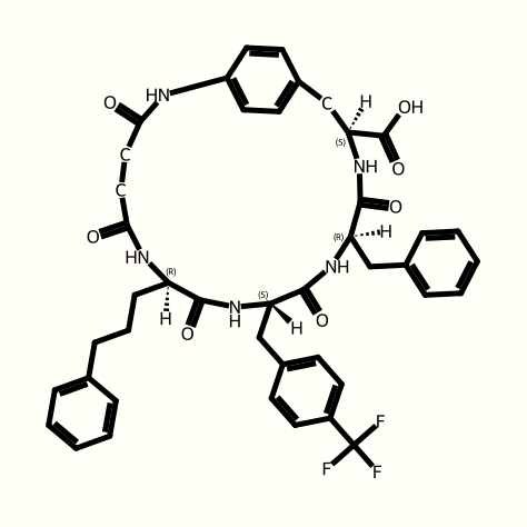 O=C1CCC(=O)N[C@H](CCCc2ccccc2)C(=O)N[C@@H](Cc2ccc(C(F)(F)F)cc2)C(=O)N[C@H](Cc2ccccc2)C(=O)N[C@H](C(=O)O)Cc2ccc(cc2)N1